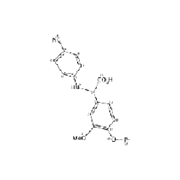 COc1cc(C(Nc2ccc(C#N)cc2)C(=O)O)ccc1OC(C)C